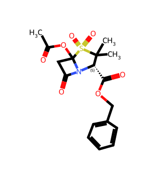 CC(=O)OC12CC(=O)N1[C@@H](C(=O)OCc1ccccc1)C(C)(C)S2(=O)=O